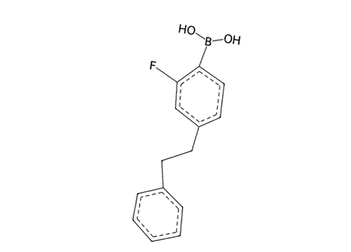 OB(O)c1ccc(CCc2ccccc2)cc1F